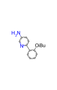 CC(C)COc1ccccc1-c1ccc(N)cn1